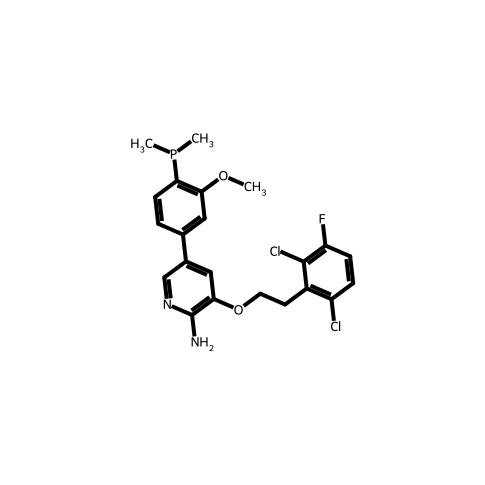 COc1cc(-c2cnc(N)c(OCCc3c(Cl)ccc(F)c3Cl)c2)ccc1P(C)C